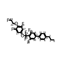 CCCc1ccc(-c2cc(F)c(C(F)(F)Oc3cc(F)c(OCCF)c(F)c3)c(F)c2)cc1